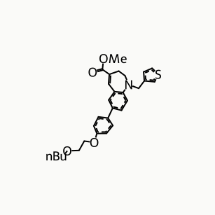 CCCCOCCOc1ccc(-c2ccc3c(c2)C=C(C(=O)OC)CCN3Cc2ccsc2)cc1